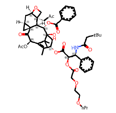 CCCOCCOCC(=O)O[C@@H](C(=O)O[C@H]1C[C@@]2(O)[C@@H](OC(=O)c3ccccc3)[C@@H]3[C@]4(CC(C)=O)CO[C@@H]4C[C@@H]4C[C@@]43C(=O)[C@H](OC(C)=O)C(=C1C)C2(C)C)[C@@H](NC(=O)CC(C)(C)C)c1ccccc1